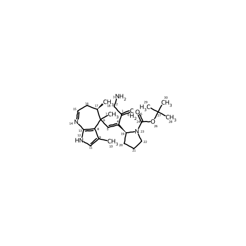 C=C(CN)/C(=C\C1(C)c2c(C)c[nH]c2N=CC[C@H]1C)[C@@H]1CCCN1C(=O)OC(C)(C)C